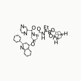 CC[C@H](NC(=O)[C@@H]1C[C@@H](Oc2cc(-c3ccccc3)nc3ccccc23)CN1C(=O)c1cnccn1)B1OC2C[C@@H]3C[C@@H](C3(C)C)[C@]2(C)O1